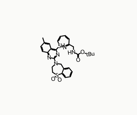 Cc1ccc2nc(N3CCS(=O)(=O)c4ccccc4C3)nc([SH]3C=CC=CC(CNC(=O)OC(C)(C)C)=N3)c2c1